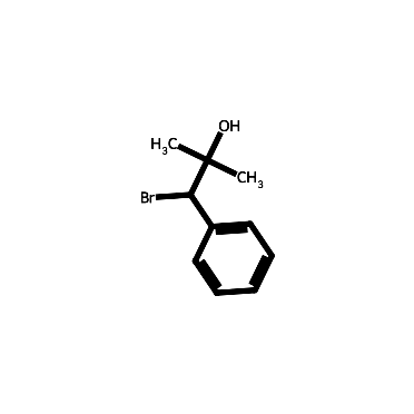 CC(C)(O)C(Br)c1ccccc1